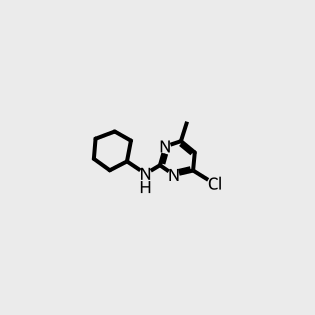 Cc1cc(Cl)nc(NC2CCCCC2)n1